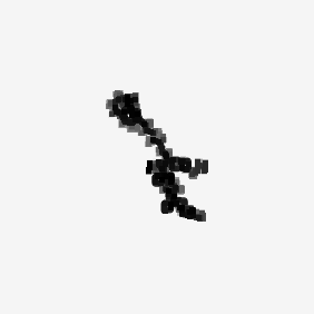 CC(C)(C)OC(=O)N1CC(OC(=O)NC(CCCCCCCc2ccc3c(n2)NCCC3)C(=O)O)C1